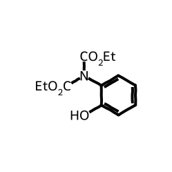 CCOC(=O)N(C(=O)OCC)c1ccccc1O